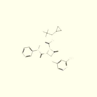 CN(C(=O)[C@@H]1[C@@H](Cc2ccnc(N)c2)C(=O)N1C(=O)N[C@@H](C1CC1)C(F)(F)F)c1ccccc1